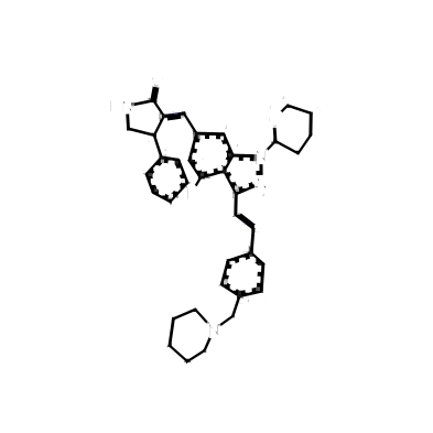 O=C1NCC(c2ccccc2)/C1=C\c1cc(F)c2c(/C=C/c3ccc(CN4CCCCC4)cc3)nn(C3CCCCO3)c2c1